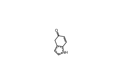 O=C1C=Cc2[nH]ccc2C1